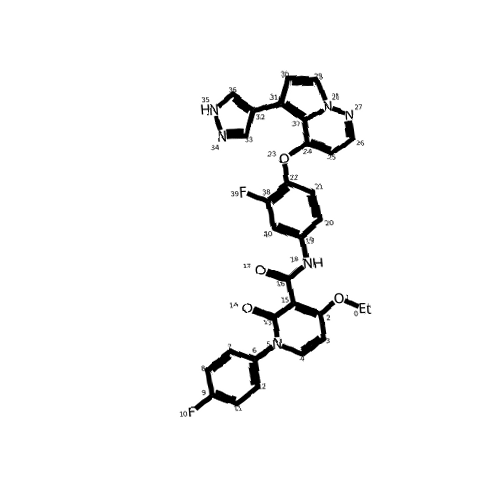 CCOc1ccn(-c2ccc(F)cc2)c(=O)c1C(=O)Nc1ccc(Oc2ccnn3ccc(-c4cn[nH]c4)c23)c(F)c1